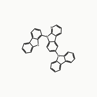 c1ccc2c(c1)sc1c(-n3c4ccc(-n5c6ccccc6c6ccccc65)cc4c4cccnc43)cccc12